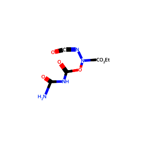 CCOC(=O)N(N=C=O)OC(=O)NC(N)=O